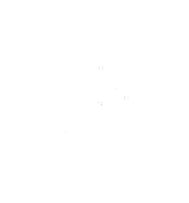 C=CC(=C)CN(CCCC)CC(=C)C